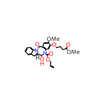 C=CCOC(=O)N1c2cc(OCCCC(=O)OC)c(OC)cc2C(=O)N2c3ccccc3C[C@H]2C1O